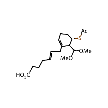 COC(OC)[C@H]1C(CC=CCCCC(=O)O)=CCC[C@H]1SC(C)=O